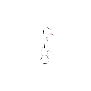 CC1=CC=C/C(=C\C=C2\N(C)c3ccccc3C2(C)C)C1=O